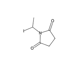 CC(I)N1C(=O)CCC1=O